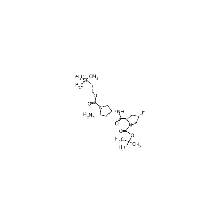 CC(C)(C)OC(=O)N1C[C@@H](F)CC1C(=O)N[C@@H]1C[C@H](CN)N(C(=O)OCC[Si](C)(C)C)C1